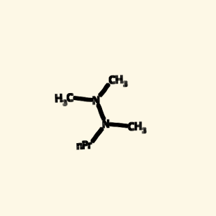 CCCN(C)N(C)C